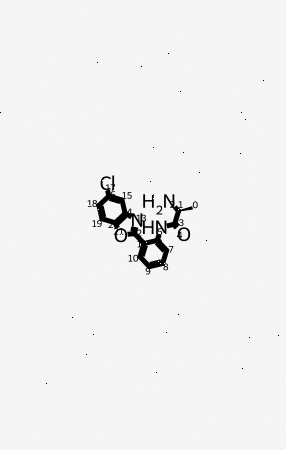 C[C@H](N)C(=O)Nc1ccccc1-c1nc2cc(Cl)ccc2o1